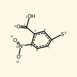 O=C(O)c1cc([S])ccc1[N+](=O)[O-]